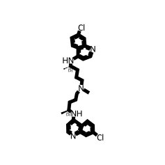 C[C@@H](CCCN(C)CCC[C@H](C)Nc1ccnc2cc(Cl)ccc12)Nc1ccnc2cc(Cl)ccc12